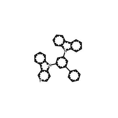 c1ccc(-c2cc(-n3c4ccccc4c4ccccc43)cc(-n3c4ccccc4c4cpccc43)c2)cc1